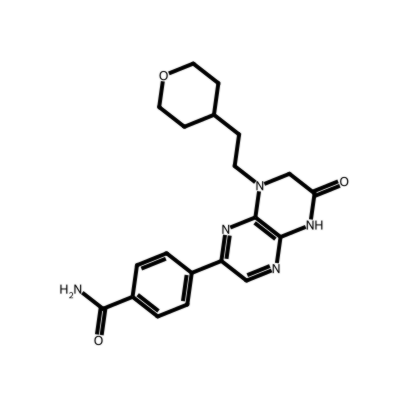 NC(=O)c1ccc(-c2cnc3c(n2)N(CCC2CCOCC2)CC(=O)N3)cc1